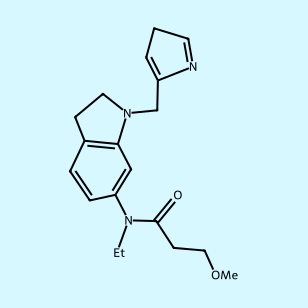 CCN(C(=O)CCOC)c1ccc2c(c1)N(CC1=CCC=N1)CC2